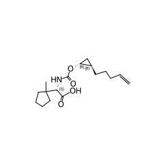 C=CCCC[C@@H]1C[C@H]1OC(=O)N[C@H](C(=O)O)C1(C)CCCC1